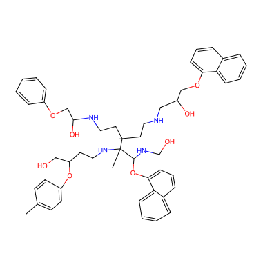 Cc1ccc(OC(CO)CCNC(C)([C](CCNCC(O)COc2cccc3ccccc23)CCNC(O)COc2ccccc2)C(NCO)Oc2cccc3ccccc23)cc1